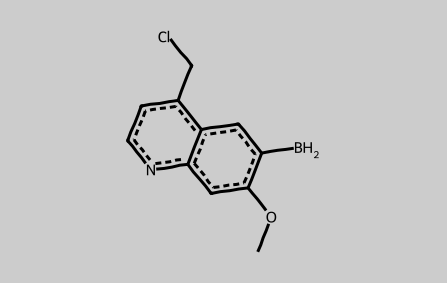 Bc1cc2c(CCl)ccnc2cc1OC